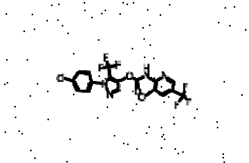 O=C(Nc1ncc(C(F)(F)F)cc1Cl)Oc1cnn(-c2ccc(Cl)cc2)c1C(F)(F)F